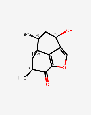 CC(C)[C@H]1C[C@@H](O)c2coc3c2[C@@H]1C[C@H](C)C3=O